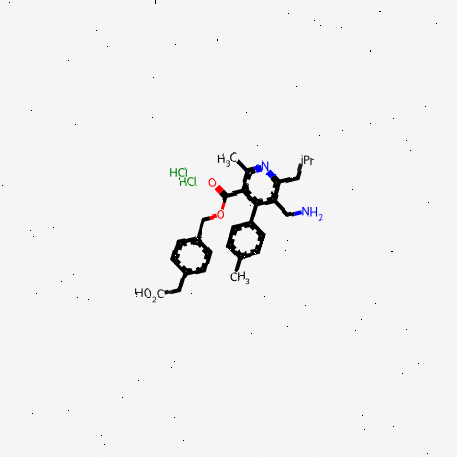 Cc1ccc(-c2c(CN)c(CC(C)C)nc(C)c2C(=O)OCc2ccc(CC(=O)O)cc2)cc1.Cl.Cl